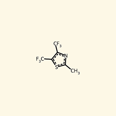 Cc1nc(C(F)(F)F)c(C(F)(F)F)s1